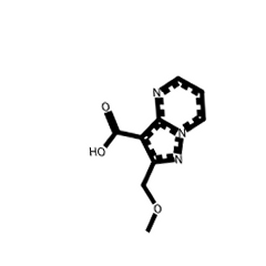 COCc1nn2cccnc2c1C(=O)O